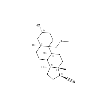 COCC12CC[C@@H](O)C[C@@H]1CCC1[C@@H]2CC[C@]2(C)[C@@H](C#N)CC[C@@H]12